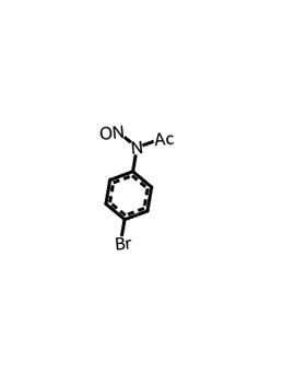 CC(=O)N(N=O)c1ccc(Br)cc1